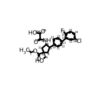 CCOC(=O)[C@@]1(CO)CC(c2ccc(-c3cc(Cl)ccc3F)cc2)[C@@H](NC(=O)C(=O)O)C1